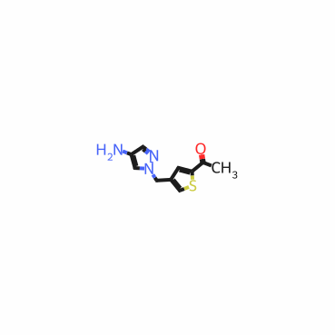 CC(=O)c1cc(Cn2cc(N)cn2)cs1